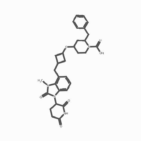 Cn1c(=O)n(C2CCC(=O)NC2=O)c2cccc(CC3CC(OC4CCN(C(=O)O)C(Cc5ccccc5)C4)C3)c21